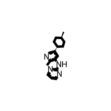 Cc1ncc([C@H]2CC[C@H](C)CC2)cc1Nc1ncccn1